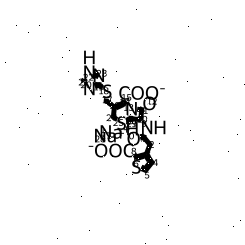 O=C(Cc1ccsc1C(=O)[O-])NC1C(=O)N2C(C(=O)[O-])=C(CSc3nc[nH]n3)CS[C@@H]12.[Na+].[Na+]